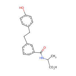 CC(NC(=O)c1cccc(CCc2ccc(O)cc2)c1)C(=O)O